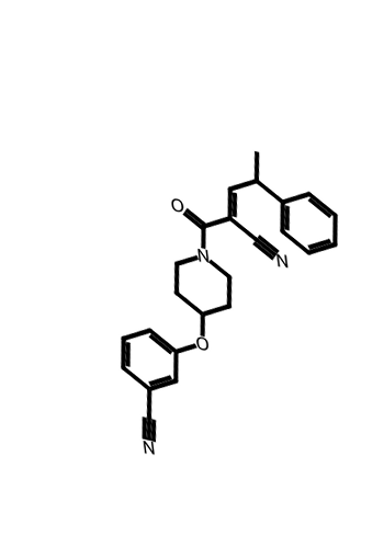 CC(/C=C(\C#N)C(=O)N1CCC(Oc2cccc(C#N)c2)CC1)c1ccccc1